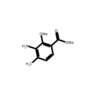 COC(=O)c1ccc(C)c(N)c1OC